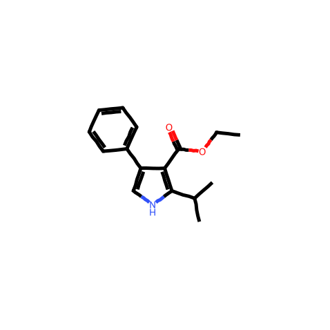 CCOC(=O)c1c(-c2ccccc2)c[nH]c1C(C)C